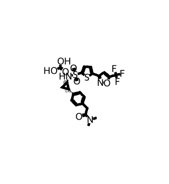 CN(C)C(=O)Cc1ccc([C@@H]2C[C@H]2NS(=O)(=O)c2ccc(-c3cc(C(F)(F)F)on3)s2)cc1.O=C(O)O